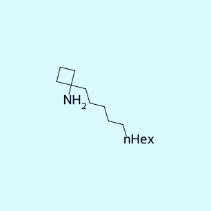 CCCCCCCCCCCC1(N)CCC1